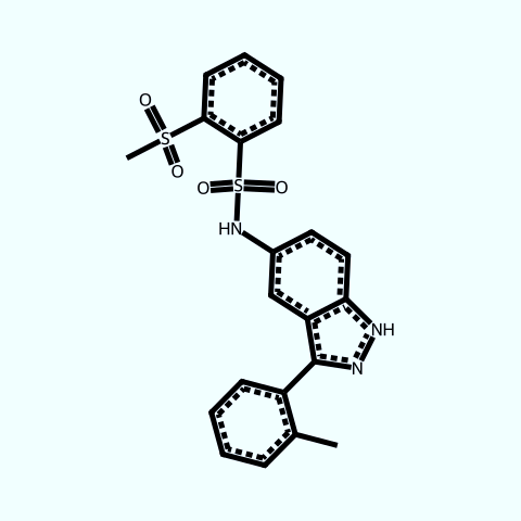 Cc1ccccc1-c1n[nH]c2ccc(NS(=O)(=O)c3ccccc3S(C)(=O)=O)cc12